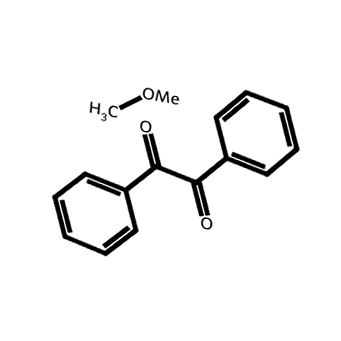 COC.O=C(C(=O)c1ccccc1)c1ccccc1